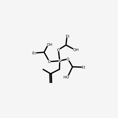 C=C(C)C[Si](OC(O)CC)(OC(O)CC)OC(O)CC